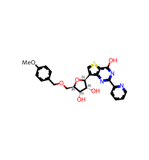 COc1ccc(COC[C@H]2O[C@@H](c3csc4c(O)nc(-c5ccccn5)nc34)[C@H](O)[C@@H]2O)cc1